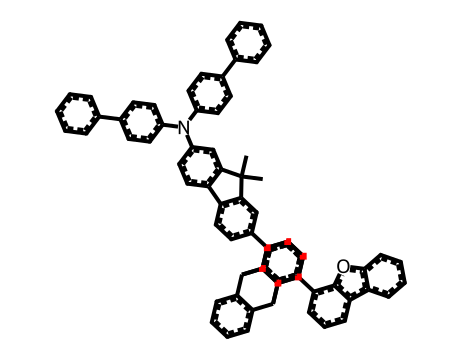 CC1(C)c2cc(-c3ccc(-c4cccc5c4oc4ccccc45)c4c3C3c5ccccc5C4c4ccccc43)ccc2-c2ccc(N(c3ccc(-c4ccccc4)cc3)c3ccc(-c4ccccc4)cc3)cc21